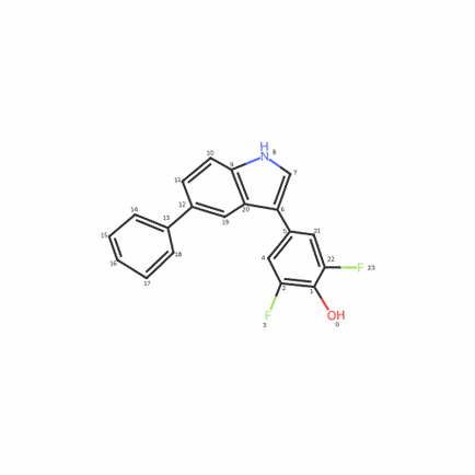 Oc1c(F)cc(-c2c[nH]c3ccc(-c4ccccc4)cc23)cc1F